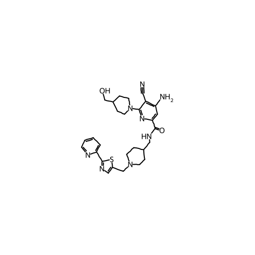 N#Cc1c(N)cc(C(=O)NCC2CCN(Cc3cnc(-c4ccccn4)s3)CC2)nc1N1CCC(CO)CC1